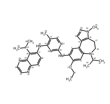 CCOc1cc2c(cc1Nc1ncc(C)c(Nc3ccc4nccnc4c3P(C)C)n1)-c1cnn(C)c1CCN2C(C)C